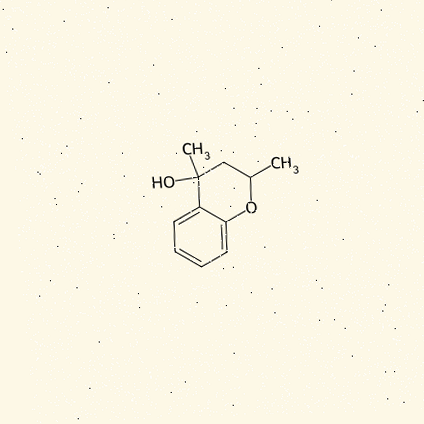 CC1CC(C)(O)c2ccccc2O1